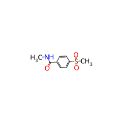 CNC(=O)c1ccc(S(C)(=O)=O)cc1